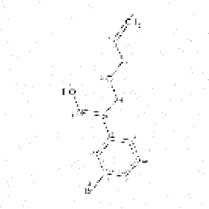 C=CCOCC(=NO)c1cccc(Br)c1